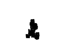 CN(CCCNc1cc(-c2ccccc2Cl)nc2c(Br)cnn12)S(=O)(=O)c1cc(Cl)ccc1Cl